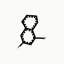 Fc1cc(F)c2ccc[c]c2c1